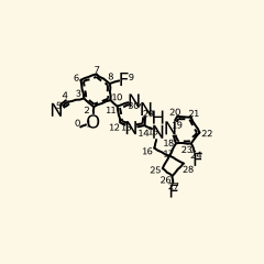 COc1c(C#N)ccc(F)c1-c1cnc(NCC2(c3ncccc3F)CC(F)C2)nn1